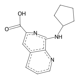 O=C(O)c1cc2cccnc2c(NC2CCCC2)n1